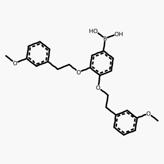 COc1cccc(CCOc2ccc(B(O)O)cc2OCCc2cccc(OC)c2)c1